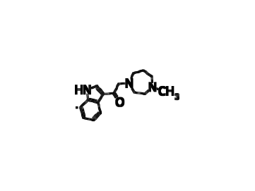 CN1CCCN(CC(=O)c2c[nH]c3[c]cccc23)CC1